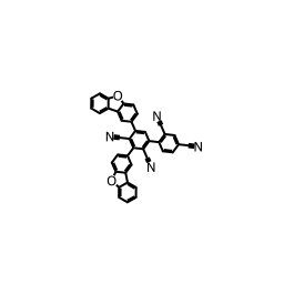 N#Cc1ccc(-c2cc(-c3ccc4oc5ccccc5c4c3)c(C#N)c(-c3ccc4oc5ccccc5c4c3)c2C#N)c(C#N)c1